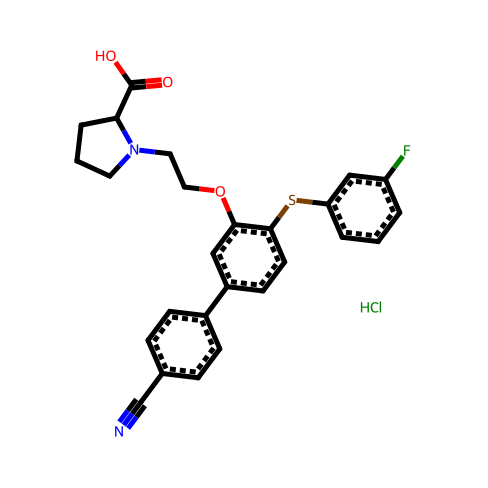 Cl.N#Cc1ccc(-c2ccc(Sc3cccc(F)c3)c(OCCN3CCCC3C(=O)O)c2)cc1